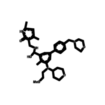 COCCN(c1cc(-c2ccc(CN3CCOCC3)cc2)cc(C(O)NCc2c(C)cc(C)[nH]c2=O)c1C)C1CCOCC1